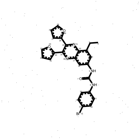 CCc1cc(NC(=O)Nc2ccc(Br)cc2)cc2nc(-c3ccco3)c(-c3ccco3)nc12